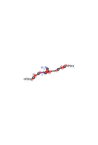 CCCCCCOc1ccc(OC(=O)C=Cc2ccc(OCCCCCCOC(=O)C(Cc3ccc(N)cc3)(Cc3ccc(N)cc3)C(=O)OCCCCCCOc3ccc(C=CC(=O)Oc4ccc(OCCCCCC)cc4)cc3)cc2)cc1